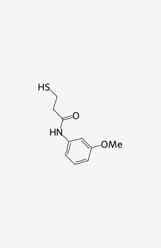 COc1cccc(NC(=O)CCS)c1